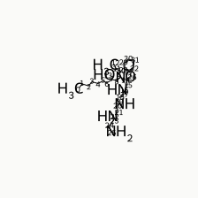 CCCCCCCCCN(CC(C)O)C(CNCCNCCNCCN)Oc1ccccc1